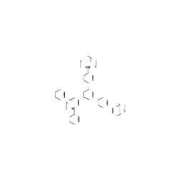 c1ccc(-c2cc(-c3cc(-c4ccc(-c5cccnc5)cc4)cc(-c4ccc(-c5ncccn5)cc4)c3)cc(-c3ccccc3)n2)cc1